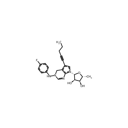 CCCC#Cc1cn([C@@H]2O[C@H](C)[C@@H](O)[C@H]2O)c2c1CN(Nc1ccc(F)cc1)C=N2